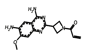 C=CC(=O)N1CC(c2nc(N)c3cc(N)c(OC)cc3n2)C1